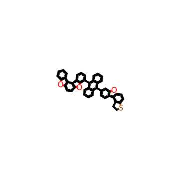 c1ccc2c(c1)oc1ccc3oc4c(-c5c6ccccc6c(-c6ccc7c(c6)oc6ccc8c(c67)CCS8)c6ccccc56)cccc4c3c12